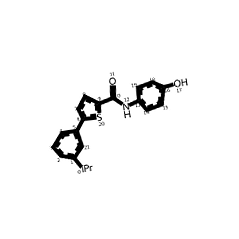 CC(C)c1cccc(-c2ccc(C(=O)Nc3ccc(O)cc3)s2)c1